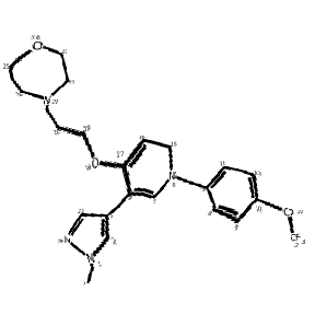 Cn1cc(C2=CN(c3ccc(OC(F)(F)F)cc3)CC=C2OCCN2CCOCC2)cn1